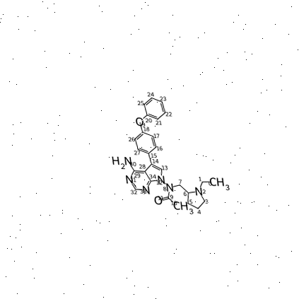 CCN1CCCC1CN(C(C)=O)n1cc(-c2ccc(Oc3ccccc3)cc2)c2c(N)ncnc21